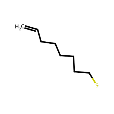 C=CCCCCCC[S]